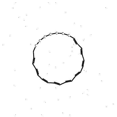 [C]1=C/C=C/C=C\C=C\C=C\C=C\C=C/C=C/C=C/CCCCCCCC/1